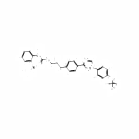 COc1ccccc1NC(=O)NCCCc1ccc(-c2ncn(-c3ccc(OC(F)(F)F)cc3)n2)cc1